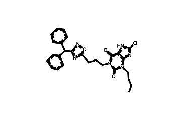 CCCCn1c(=O)n(CCCc2nc(C(c3ccccc3)c3ccccc3)no2)c(=O)c2[nH]c(Cl)nc21